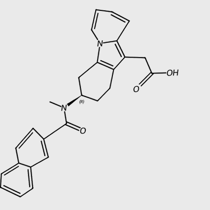 CN(C(=O)c1ccc2ccccc2c1)[C@@H]1CCc2c(CC(=O)O)c3ccccn3c2C1